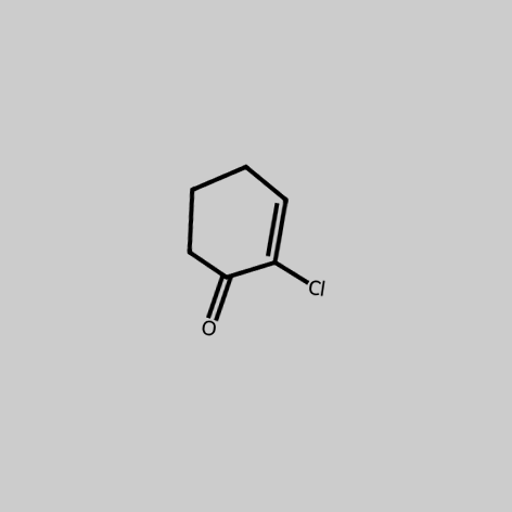 O=C1CCCC=C1Cl